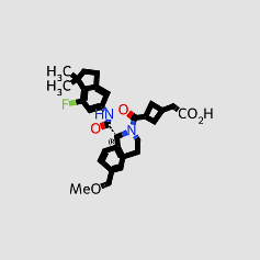 COCc1ccc2c(c1)CCN(C(=O)C1CC(CC(=O)O)C1)[C@H]2C(=O)Nc1cc(F)c2c(c1)CCC2(C)C